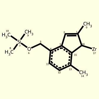 CC1=Cc2c(CO[Si](C)(C)C)ccc(C)c2[CH]1[Zr]